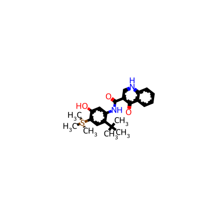 CC(C)(C)c1cc(S(C)(C)C)c(O)cc1NC(=O)c1c[nH]c2ccccc2c1=O